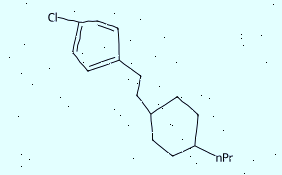 CCCC1CCC(CCc2ccc(Cl)cc2)CC1